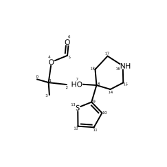 CC(C)(C)OC=O.OC1(c2cccs2)CCNCC1